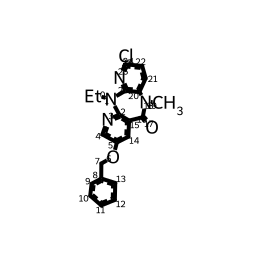 CCN1c2ncc(OCc3ccccc3)cc2C(=O)N(C)c2ccc(Cl)nc21